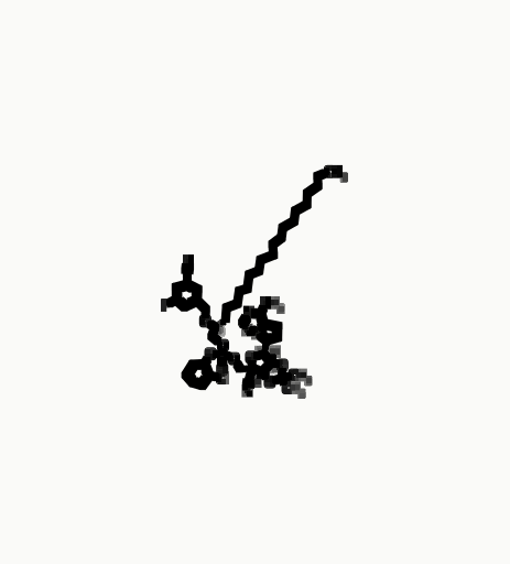 CCCCCCCCCCCCCCCCCCC[C@H](COP(=O)(OC[C@@]1(C#N)O[C@@H](c2ccc3c(N)ncnn23)[C@@H]2OC(C)(C)O[C@@H]21)Oc1ccccc1Cl)OCc1cc(F)cc(C#N)c1